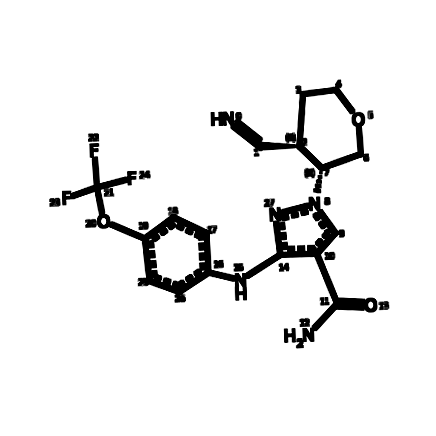 N=C[C@H]1CCOC[C@@H]1n1cc(C(N)=O)c(Nc2ccc(OC(F)(F)F)cc2)n1